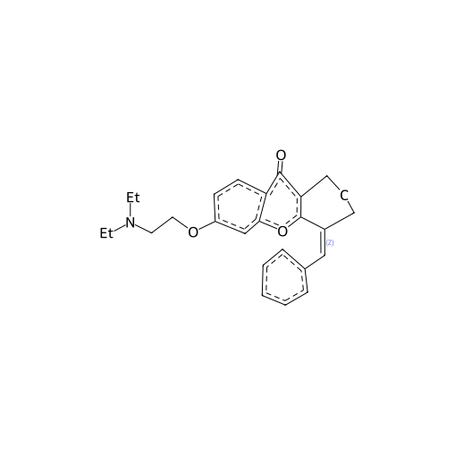 CCN(CC)CCOc1ccc2c(=O)c3c(oc2c1)/C(=C\c1ccccc1)CCC3